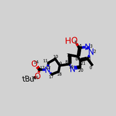 Cc1nnc(O)c2cc(C3CCN(C(=O)OC(C)(C)C)CC3)ncc12